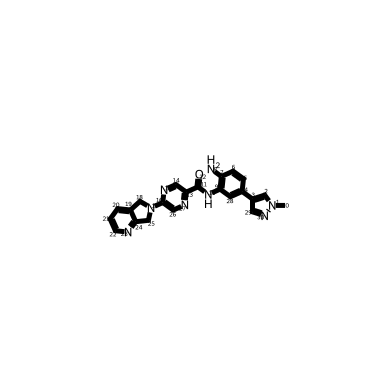 Cn1cc(-c2ccc(N)c(NC(=O)c3cnc(N4Cc5cccnc5C4)cn3)c2)cn1